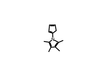 Cc1c(C)c(C)n(C2=CC=CC2)c1C